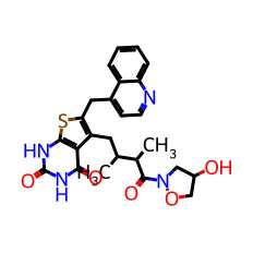 CC(Cc1c(Cc2ccnc3ccccc23)sc2[nH]c(=O)[nH]c(=O)c12)C(C)C(=O)N1CC(O)CO1